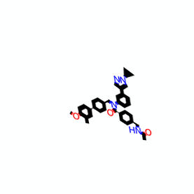 COc1ccc([C@H]2CC[C@H](CN(c3cccc(-c4cnn(C5CC5)c4)c3)C(=O)[C@H]3CC[C@H](CNC(C)=O)CC3)CC2)cc1C